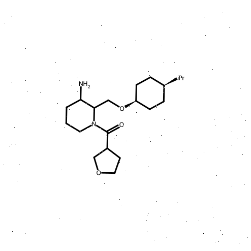 CC(C)[C@H]1CC[C@@H](OCC2C(N)CCCN2C(=O)C2CCOC2)CC1